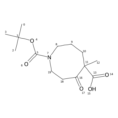 CC(C)(C)OC(=O)N1CCCC(C)(C(=O)O)C(=O)CC1